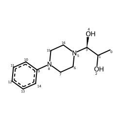 CC(O)[C@H](O)N1CCN(c2ccccc2)CC1